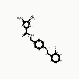 Cc1nc(C(=O)NCc2ccc(OCc3ccccc3F)cc2)sc1C